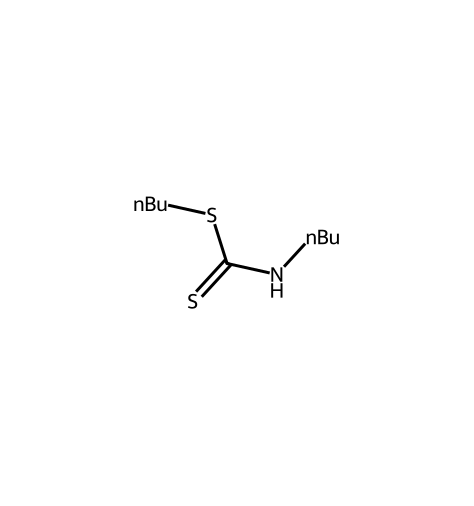 CCCCNC(=S)SCCCC